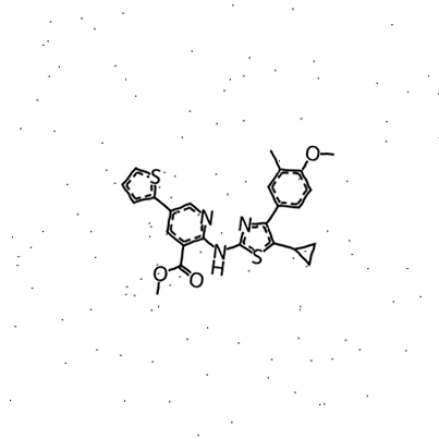 COC(=O)c1cc(-c2cccs2)cnc1Nc1nc(-c2ccc(OC)c(C)c2)c(C2CC2)s1